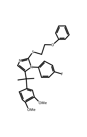 COc1ccc(C(C)(C)c2cnc(SCCOc3ccccc3)n2-c2ccc(F)cc2)cc1OC